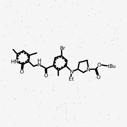 CCN(c1cc(Br)cc(C(=O)NCc2c(C)cc(C)[nH]c2=O)c1C)C1CCN(C(=O)OC(C)(C)C)C1